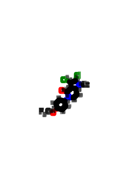 CCn1c(Cl)c(Cl)c2c(=O)n(-c3ccc(OC(F)(F)F)cc3)ccc21